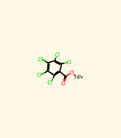 [CH2]CCOC(=O)c1c(Cl)c(Cl)c(Cl)c(Cl)c1Cl